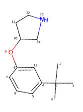 CC(C)(C)c1cccc(OC2CCNC2)c1